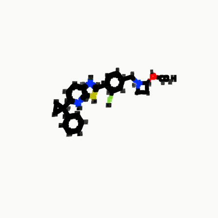 O=C(O)O[C@@H]1CCN1Cc1ccc(-c2nc3ccc(C4(c5ccccc5)CC4)nc3s2)c(F)c1